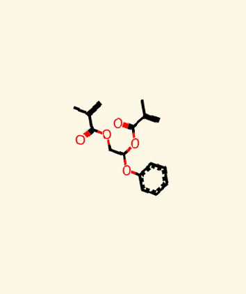 C=C(C)C(=O)OCC(OC(=O)C(=C)C)Oc1ccccc1